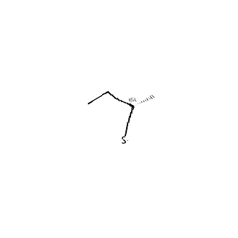 CC[C@H](C)[S]